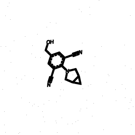 N#Cc1cc(CO)cc(C#N)c1N1CC2CC2C1